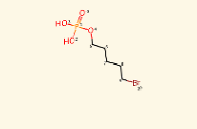 O=P(O)(O)OCCCCCBr